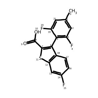 Cc1cc(F)c(-c2c(C(=O)O)sc3cc(F)ccc23)c(F)c1